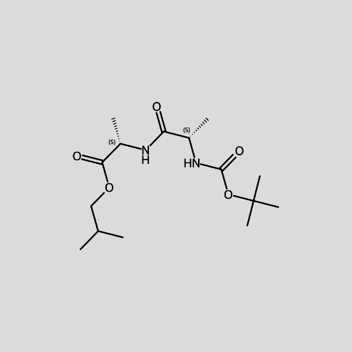 CC(C)COC(=O)[C@H](C)NC(=O)[C@H](C)NC(=O)OC(C)(C)C